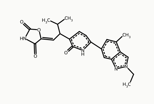 CCn1cc2c(C)cc(-c3ccc(C(C=C4OC(=O)NC4=O)C(C)C)c(=O)[nH]3)cc2n1